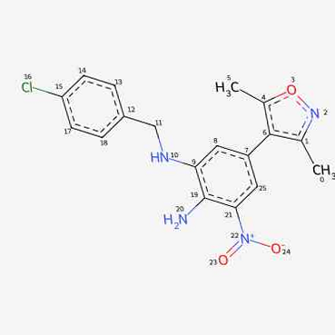 Cc1noc(C)c1-c1cc(NCc2ccc(Cl)cc2)c(N)c([N+](=O)[O-])c1